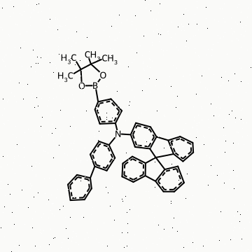 CC1(C)OB(c2ccc(N(c3ccc(-c4ccccc4)cc3)c3ccc4c(c3)C3(c5ccccc5-c5ccccc53)c3ccccc3-4)cc2)OC1(C)C